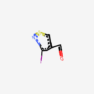 O=Cc1csnc1I